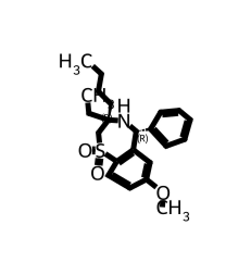 CCCC[C@]1(CC)CS(=O)(=O)c2ccc(OC)cc2[C@@H](c2ccccc2)N1